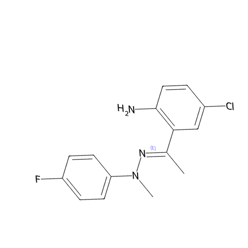 C/C(=N\N(C)c1ccc(F)cc1)c1cc(Cl)ccc1N